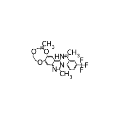 Cc1nc(N[C@H](C)c2cccc(C(F)(F)F)c2)c2cc3c(cc2n1)OCCOC[C@H](C)O3